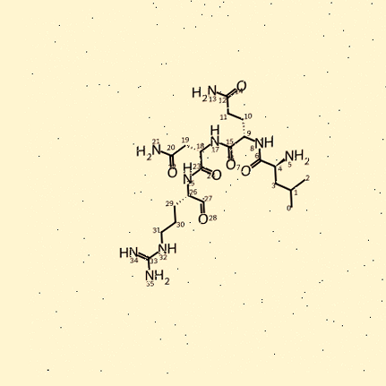 CC(C)C[C@H](N)C(=O)N[C@@H](CCC(N)=O)C(=O)N[C@@H](CC(N)=O)C(=O)N[C@H]([C]=O)CCCNC(=N)N